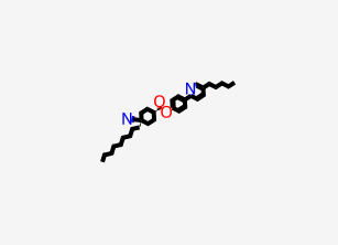 CCCCCCCCC[C@]1(C#N)CC[C@H](C(=O)Oc2ccc(-c3ccc(CCCCC)cn3)cc2)CC1